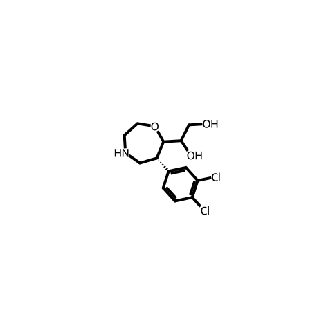 OCC(O)C1OCCNC[C@H]1c1ccc(Cl)c(Cl)c1